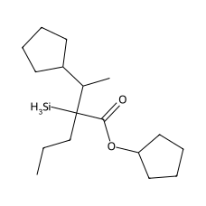 CCCC([SiH3])(C(=O)OC1CCCC1)C(C)C1CCCC1